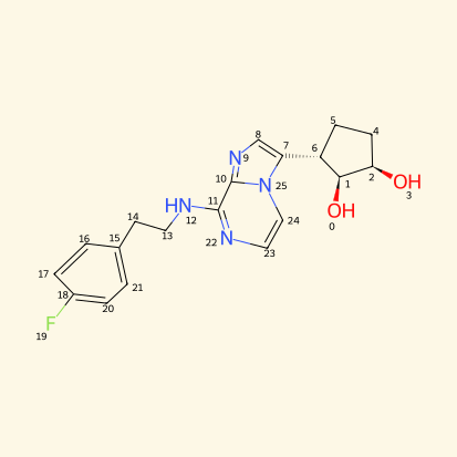 O[C@@H]1[C@H](O)CC[C@H]1c1cnc2c(NCCc3ccc(F)cc3)nccn12